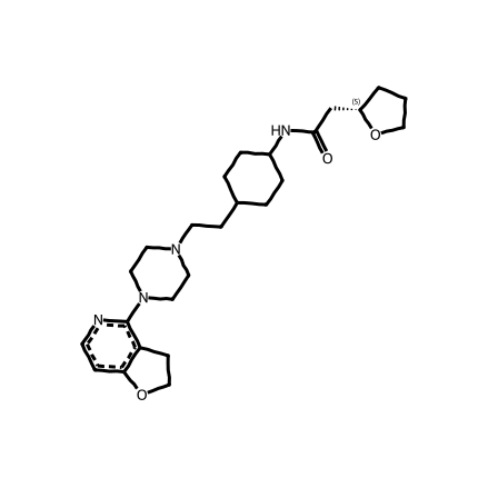 O=C(C[C@@H]1CCCO1)NC1CCC(CCN2CCN(c3nccc4c3CCO4)CC2)CC1